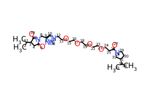 CC(C)C1CC(=O)N(Cc2cn(CCOCCOCCOCCOCCC(=O)N3CC[C@@H](C(C)C)C3)nn2)C1=O